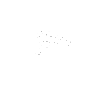 c1ccc(-n2c3cccc(-c4ccccc4-c4ccc5c6c(cccc46)-c4ccccc4O5)c3c3c4ccccc4ccc32)cc1